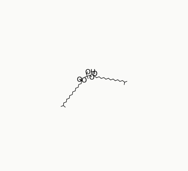 CC(C)CCCCCCCCCCCCC(=O)OCC(C)(CO)COC(=O)CCCCCCCCCCCCC(C)C